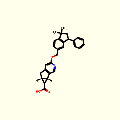 CC1(C)CC(c2ccccc2)c2cc(COc3cc4c(cn3)[C@H]3[C@@H](C4)[C@@H]3C(=O)O)ccc21